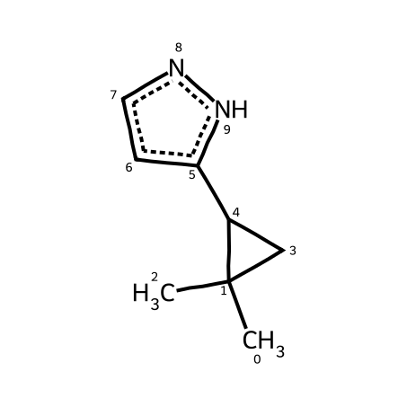 CC1(C)CC1c1ccn[nH]1